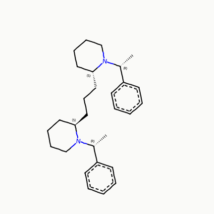 C[C@H](c1ccccc1)N1CCCC[C@H]1CCC[C@@H]1CCCCN1[C@H](C)c1ccccc1